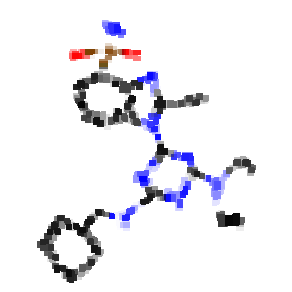 COc1nc2c(S(N)(=O)=O)cccc2n1-c1nc(NCc2ccccc2)nc(N(C)C)n1